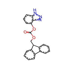 O=C(OCC1c2ccccc2-c2ccccc21)Oc1cccc2[nH]nnc12